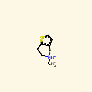 [CH2-][NH+]1CCc2sccc2C1